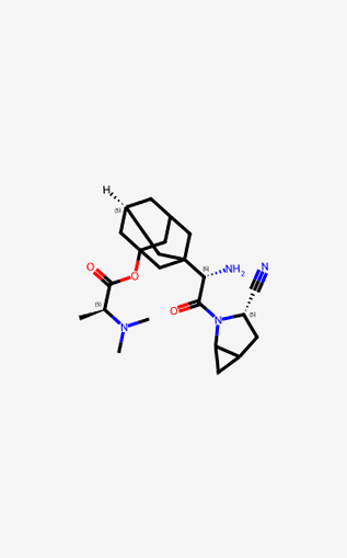 C[C@@H](C(=O)OC12CC3C[C@H](C1)CC([C@H](N)C(=O)N1C4CC4C[C@H]1C#N)(C3)C2)N(C)C